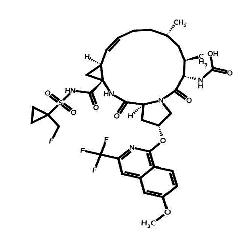 COc1ccc2c(O[C@@H]3C[C@H]4C(=O)N[C@]5(C(=O)NS(=O)(=O)C6(CF)CC6)C[C@H]5C=CCC[C@H](C)C[C@@H](C)[C@H](NC(=O)O)C(=O)N4C3)nc(C(F)(F)F)cc2c1